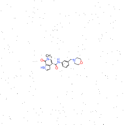 Cn1cc(C(=O)Nc2cccc(CN3CCOCC3)c2)c2cc[nH]c2c1=O